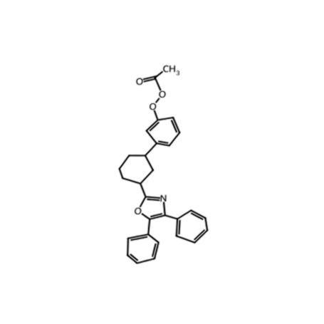 CC(=O)OOc1cccc(C2CCCC(c3nc(-c4ccccc4)c(-c4ccccc4)o3)C2)c1